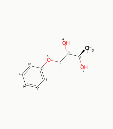 C[C@@H](O)[C@@H](O)COc1c[c]ccc1